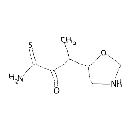 CC(C(=O)C(N)=S)C1CNCO1